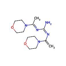 C=C(/N=C(N)\N=C(/C)N1CCOCC1)N1CCOCC1